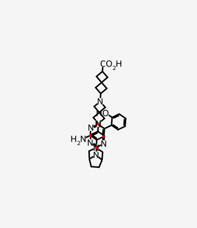 Nc1nnc(-c2ccccc2O)cc1N1CC2CCC(C1)N2c1ncc(N2CC3(C2)CN(C2CC4(CC(C(=O)O)C4)C2)C3)cn1